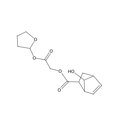 O=C(COC(=O)C1CC2C=CC1C2O)OC1CCCO1